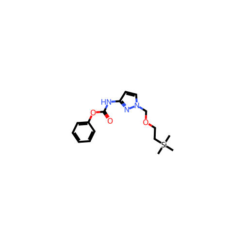 C[Si](C)(C)CCOCn1ccc(NC(=O)Oc2ccccc2)n1